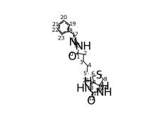 O=C(CCCC[C@@H]1SC[C@@H]2NC(=O)N[C@@H]21)N/N=C/c1ccccc1